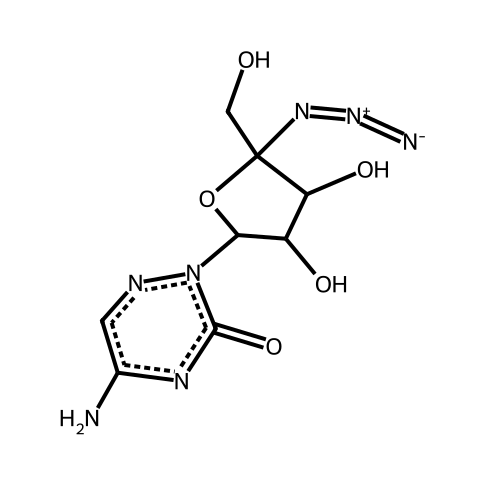 [N-]=[N+]=NC1(CO)OC(n2ncc(N)nc2=O)C(O)C1O